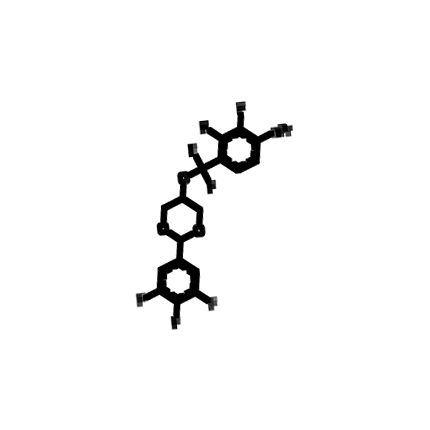 CCCc1ccc(C(F)(F)OC2COC(c3cc(F)c(F)c(F)c3)OC2)c(F)c1F